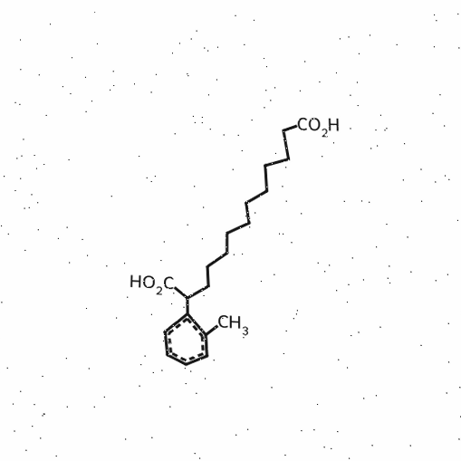 Cc1ccccc1C(CCCCCCCCCCC(=O)O)C(=O)O